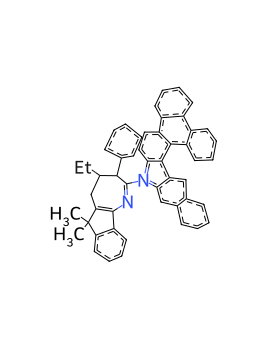 CCC1CC2=C(N=C(n3c4cc5ccccc5cc4c4c5c6ccccc6c6ccccc6c5ccc43)C1c1ccccc1)c1ccccc1C2(C)C